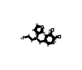 FCCN(Cc1cnc(Cl)c(Cl)c1)c1ccoc1